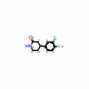 O=C1CC(c2ccc(F)c(F)c2)CCN1